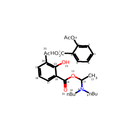 CC(=O)Oc1ccccc1C(=O)O.CCCCN(CCCC)C(C)OC(=O)c1cccc(C(C)=O)c1O